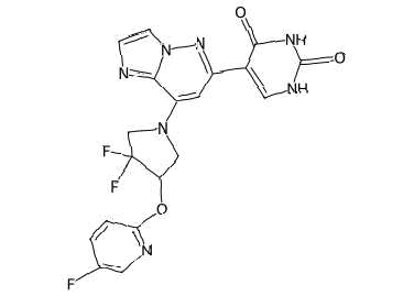 O=c1[nH]cc(-c2cc(N3CC(Oc4ccc(F)cn4)C(F)(F)C3)c3nccn3n2)c(=O)[nH]1